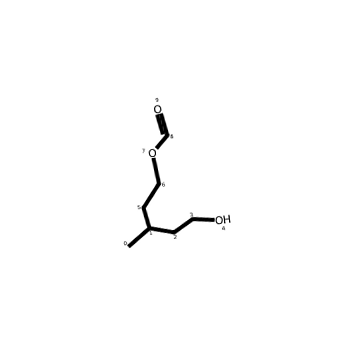 CC(CCO)CCOC=O